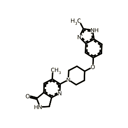 Cc1nc2cc(OC3CCN(c4nc5c(cc4C)C(=O)NC5)CC3)ccc2[nH]1